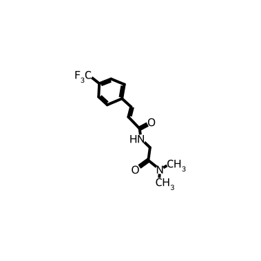 CN(C)C(=O)CNC(=O)/C=C/c1ccc(C(F)(F)F)cc1